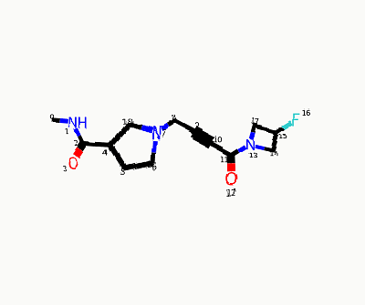 CNC(=O)C1CCN(CC#CC(=O)N2CC(F)C2)C1